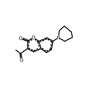 CC(=O)c1cc2ccc(N3CCCCC3)cc2oc1=O